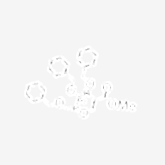 COC(=O)C1=CO[C@H](COCc2ccccc2)[C@H](OCc2ccccc2)[C@@H]1OCc1ccccc1